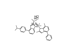 CC1=Cc2c(-c3ccccc3)ccc(C)c2[CH]1[Zr]([CH3])([CH3])(=[SiH2])[CH]1C(C(C)C)=Cc2c(-c3ccc(C(C)C)cc3)cccc21.Cl.Cl